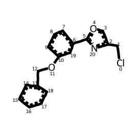 ClCc1coc(-c2cccc(OCc3ccccc3)c2)n1